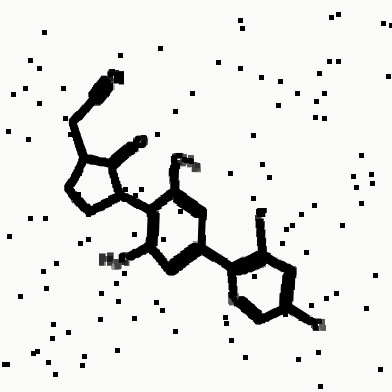 C#CCC1CCC(c2c(C)cc(-c3ncc(Cl)cc3F)cc2C)C1=O